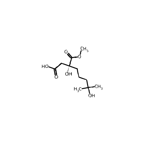 COC(=O)[C@@](O)(CCCC(C)(C)O)CC(=O)O